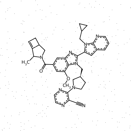 COc1cc(C(=O)N2CC3CC=C3C2C)cc2nc(-c3cc4cccnc4n3CC3CC3)n(C[C@H]3CCN(c4nccnc4C#N)C3)c12